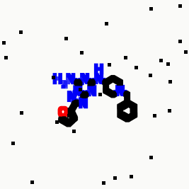 Nc1nc(NC2CCN(Cc3ccccc3)CC2)nc2nc(-c3ccco3)nn12